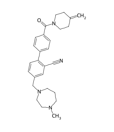 C=C1CCN(C(=O)c2ccc(-c3ccc(CN4CCCN(C)CC4)cc3C#N)cc2)CC1